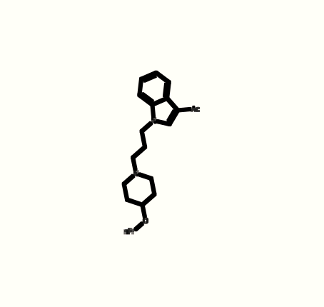 CCCOC1CCN(CCCn2cc(C(C)=O)c3ccccc32)CC1